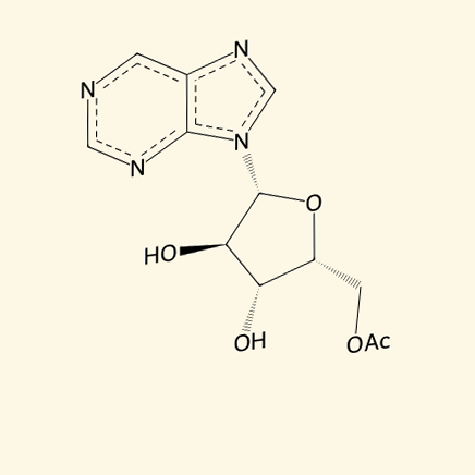 CC(=O)OC[C@H]1O[C@@H](n2cnc3cncnc32)[C@H](O)[C@H]1O